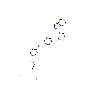 CC(C)Oc1cccc2c1ccn2-c1nc(Nc2cccc(NC(=O)c3cccc(NC(=O)/C=C/CN(C)C)c3)c2)ncc1Cl